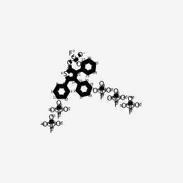 [O]=[Sb]([O-])([F])[O]c1sc(-c2ccccc2)c(-c2ccccc2)c1-c1ccccc1.[O]=[Sb]([O-])([O-])[F].[O]=[Sb]([O-])([O-])[F].[O]=[Sb]([O-])([O-])[F].[O]=[Sb]([O-])([O-])[F].[O]=[Sb]([O-])([O-])[F]